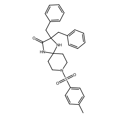 Cc1ccc(S(=O)(=O)N2CCC3(CC2)NC(=O)C(Cc2ccccc2)(Cc2ccccc2)N3)cc1